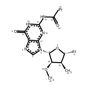 CC[C@H]1O[C@@H](n2cnc3c(=O)[nH]c(NC(=O)C(C)C)nc32)[C@H](OC(F)(F)F)[C@@H]1C